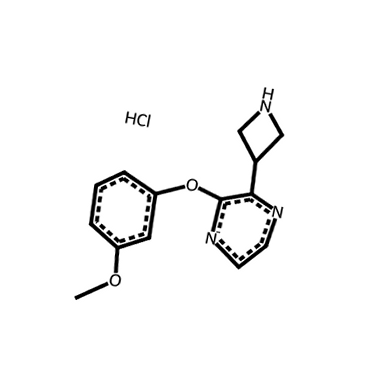 COc1cccc(Oc2nccnc2C2CNC2)c1.Cl